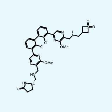 COc1nc(-c2cccc(-c3cccc(-c4cnc(CNC[C@@H]5CCC(=O)N5)c(OC)n4)c3Cl)c2Cl)cnc1CNCC1CS(=O)(=O)C1